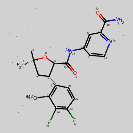 COc1c([C@@H]2C[C@](C)(C(F)(F)F)O[C@H]2C(=O)Nc2ccnc(C(N)=O)c2)ccc(F)c1F